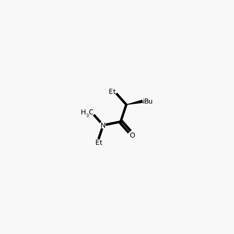 CCC(C)[C@H](CC)C(=O)N(C)CC